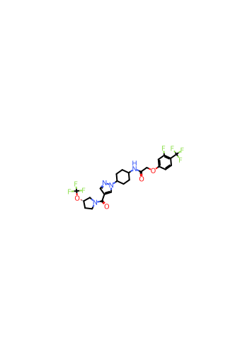 O=C(COc1ccc(C(F)(F)F)c(F)c1)NC1CCC(n2cc(C(=O)N3CC[C@H](OC(F)(F)F)C3)cn2)CC1